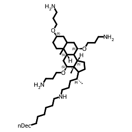 CCCCCCCCCCCCCCCCNCCC[C@@H](C)C1CC[C@H]2C3[C@H](OCCCN)CC4C[C@H](OCCCN)CCC4(C)[C@H]3C[C@H](OCCCN)[C@@]12C